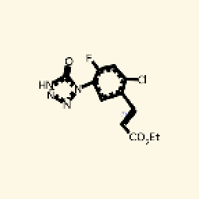 CCOC(=O)/C=C/c1cc(-n2nn[nH]c2=O)c(F)cc1Cl